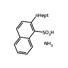 CCCCCCCc1ccc2ccccc2c1S(=O)(=O)O.N